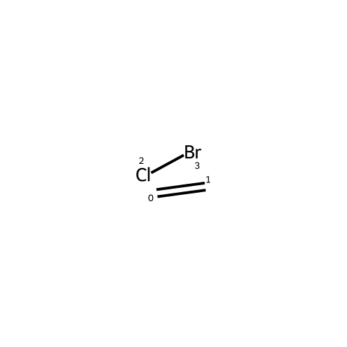 C=C.ClBr